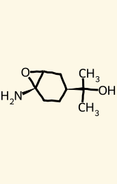 CC(C)(O)[C@H]1CC[C@]2(N)OC2C1